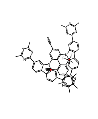 Cc1nc(C)nc(-c2ccc3c4ccc(-c5nc(C)nc(C)n5)cc4n(-c4cc(C#N)cc(-n5c6cc(-c7nc(C)nc(C)n7)ccc6c6ccc(-c7nc(C)nc(C)n7)cc65)c4-c4c(C#N)cccc4C(F)(F)F)c3c2)n1